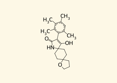 Cc1cc(C)c(C2=C(O)C3(CCC4(CCCO4)CC3)NC2=O)c(C)c1C